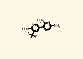 Nc1ccc(-c2cnc(N)c(C(F)(F)F)c2)c(N)n1